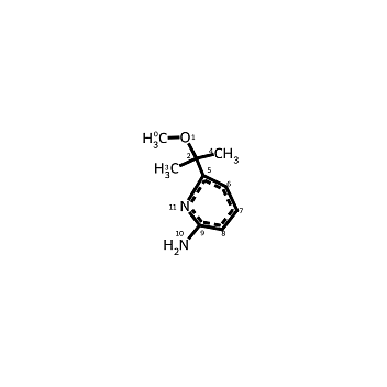 COC(C)(C)c1cccc(N)n1